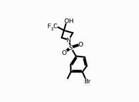 Cc1cc(S(=O)(=O)N2CC(O)(C(F)(F)F)C2)ccc1Br